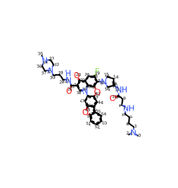 CN(C)CCCCNCCC(=O)N[C@@H]1CCN(c2c(F)cc3c(=O)c(C(=O)NCCCN4CCN(C)CC4)cn4c3c2Oc2cc3c(cc2-4)oc2ccccc23)C1